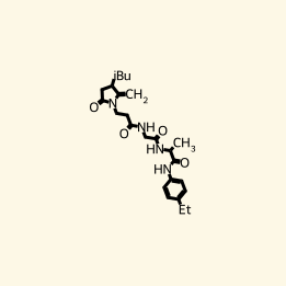 C=C1C(C(C)CC)CC(=O)N1CCC(=O)NCC(=O)NC(C)C(=O)Nc1ccc(CC)cc1